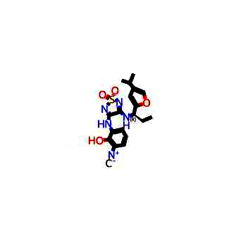 [C-]#[N+]c1cccc(NC2=NS(=O)(=O)N=C2N[C@H](CC)c2cc(C(C)C)co2)c1O